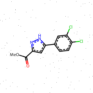 COC(=O)c1cc(-c2ccc(Cl)c(Cl)c2)[nH]n1